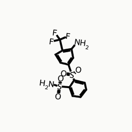 Nc1cc(S(=O)(=O)c2ccccc2S(N)(=O)=O)ccc1C(F)(F)F